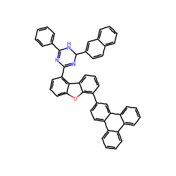 c1ccc(C2=NC(c3cccc4oc5c(-c6ccc7c8ccccc8c8ccccc8c7c6)cccc5c34)=NC(c3ccc4ccccc4c3)N2)cc1